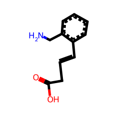 NCc1ccccc1C=CCC(=O)O